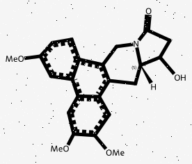 COc1ccc2c3c(c4cc(OC)c(OC)cc4c2c1)C[C@H]1C(O)CC(=O)N1C3